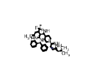 C=C1CC(C(F)(F)F)C(C(=N)C2CCN(C(=N)/C=C\C(=N)CC(C)C)CC2)=C(NC(c2ccccc2)c2ccccc2)N1